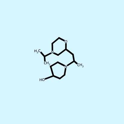 CC(C)N1CCOC(CC(C)N2CCC(O)CC2)C1